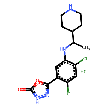 CC(Nc1cc(-c2n[nH]c(=O)o2)c(Cl)cc1Cl)C1CCNCC1.Cl